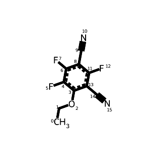 CCOc1c(F)c(F)c(C#N)c(F)c1C#N